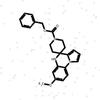 O=C(OCc1ccccc1)N1CCC2(CC1)Nc1cc(OC(F)(F)F)ccc1-n1cccc12